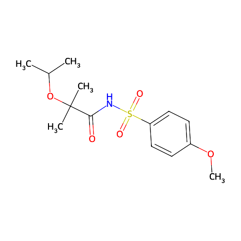 COc1ccc(S(=O)(=O)NC(=O)C(C)(C)OC(C)C)cc1